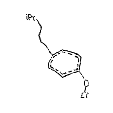 CCOc1ccc(CCC(C)C)cc1